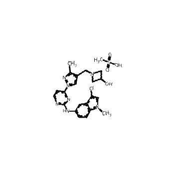 CS(=O)(=O)O.Cc1nn(-c2ccnc(Nc3ccc4c(c3)c(Cl)cn4C)n2)cc1CN1CC(O)C1